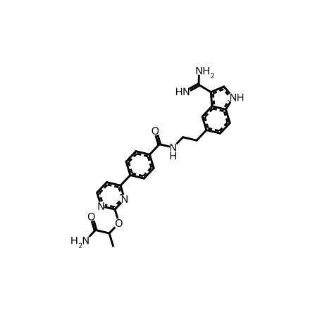 CC(Oc1nccc(-c2ccc(C(=O)NCCc3ccc4[nH]cc(C(=N)N)c4c3)cc2)n1)C(N)=O